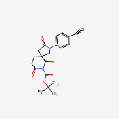 C#Cc1ccc(N2CC3(CCC(=O)N(C(=O)OC(C)(C)C)C3=O)CC2=O)cc1